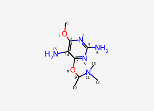 COc1nc(N)nc(OC(C)N(C)C)c1N